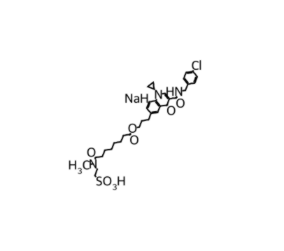 CN(CCS(=O)(=O)O)C(=O)CCCCCCC(=O)OCCCc1ccc2c(c1)c(=O)c(C(=O)NCc1ccc(Cl)cc1)cn2C1CC1.[NaH]